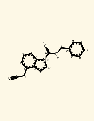 N#CCc1cccc2c1ccn2C(=O)OCc1ccccc1